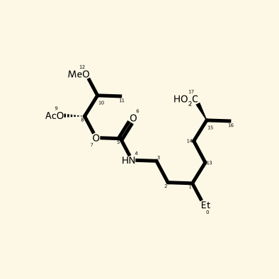 CCC(CCNC(=O)O[C@H](OC(C)=O)C(C)OC)CC[C@H](C)C(=O)O